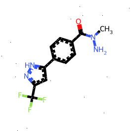 CN(N)C(=O)c1ccc(-c2cc(C(F)(F)F)n[nH]2)cc1